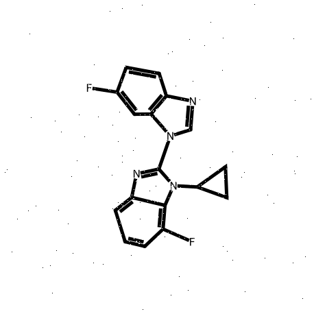 Fc1ccc2ncn(-c3nc4cccc(F)c4n3C3CC3)c2c1